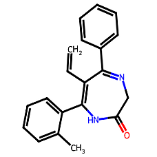 C=CC1=C(c2ccccc2C)NC(=O)CN=C1c1ccccc1